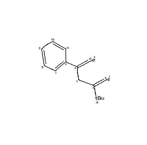 CC(C)(C)C(=[Se])CC(=[Se])c1ccccc1